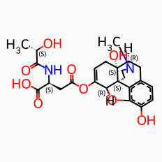 C[C@H](O)C(=O)N[C@@H](CC(=O)OC1=CC[C@@]2(O)[C@H]3Cc4ccc(O)c5c4[C@@]2(CCN3C)[C@H]1O5)C(=O)O